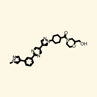 Cn1cc(-c2cccc(-c3ncc(-c4cnn(C5CCC(C(=O)N6CCOC(CO)C6)CC5)c4)cn3)c2)cn1